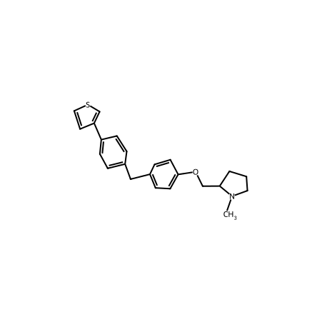 CN1CCCC1COc1ccc(Cc2ccc(-c3ccsc3)cc2)cc1